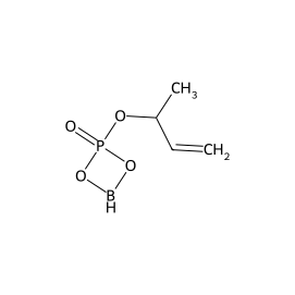 C=CC(C)OP1(=O)OBO1